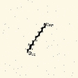 CCCCCCCCCCCCCCCCSCCCCCCCCCCCCCCC